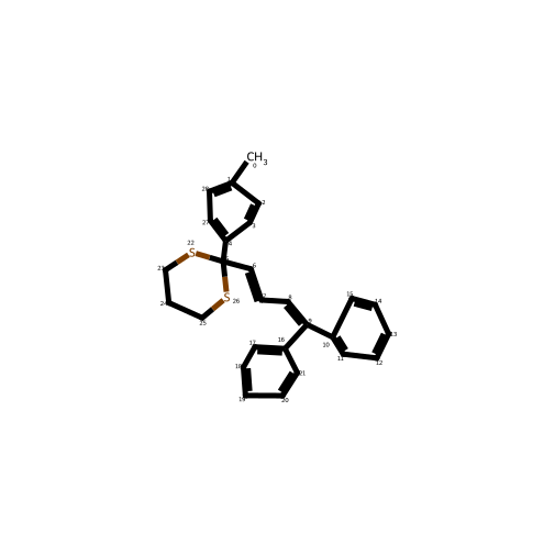 Cc1ccc(C2(C=CC=C(c3ccccc3)c3ccccc3)SCCCS2)cc1